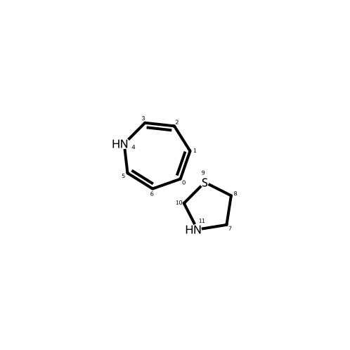 C1=CC=CNC=C1.C1CSCN1